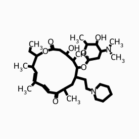 CCC1OC(=O)CC(O)C(C)C(OC2CC(N(C)C)C(O)C(C)O2)C(CCN2CCCCC2)CC(C)C(=O)/C=C/C(C)=C/C1C